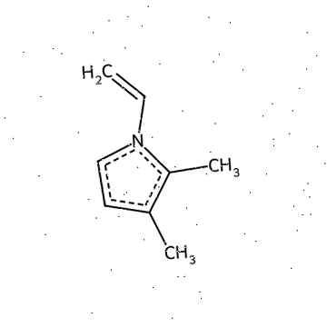 C=Cn1ccc(C)c1C